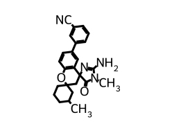 CC1CCCC2(C1)CC1(N=C(N)N(C)C1=O)c1cc(-c3cccc(C#N)c3)ccc1O2